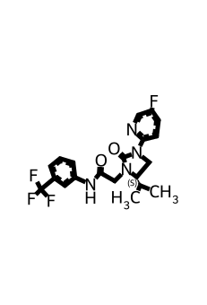 CC(C)[C@H]1CN(c2ccc(F)cn2)C(=O)N1CC(=O)Nc1cccc(C(F)(F)F)c1